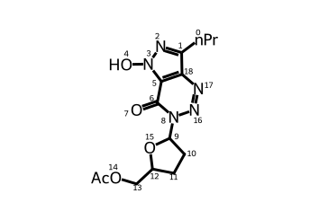 CCCc1nn(O)c2c(=O)n(C3CCC(COC(C)=O)O3)nnc12